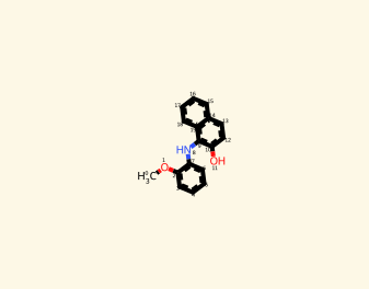 COc1ccccc1Nc1c(O)ccc2ccccc12